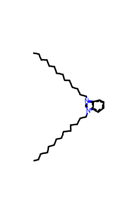 CCCCCCCCCCCCCCn1c[n+](CCCCCCCCCCCCCC)c2ccccc21